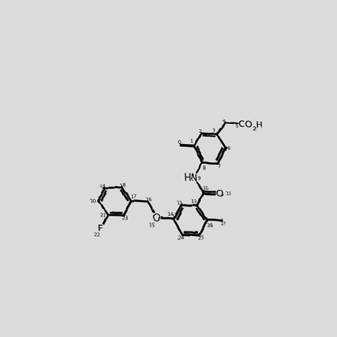 Cc1cc(CC(=O)O)ccc1NC(=O)c1cc(OCc2cccc(F)c2)ccc1C